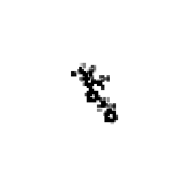 C[C@@H](O)[C@H]1C(=O)N2C(C(=O)O)=C(c3cccc(NC(=O)Nc4ccccc4)c3)C[C@H]12